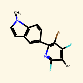 CC(=O)c1c(F)nc(-c2ccc3c(ccn3C)c2)c(Br)c1F